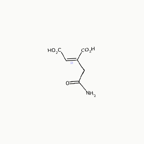 NC(=O)C/C(=C/C(=O)O)C(=O)O